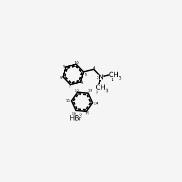 Br.CN(C)Cc1ccccc1.c1ccccc1